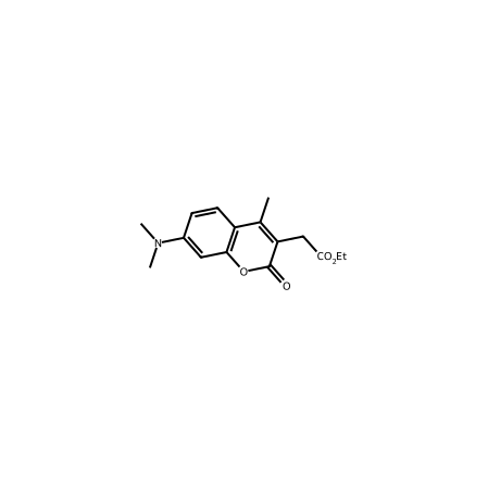 CCOC(=O)Cc1c(C)c2ccc(N(C)C)cc2oc1=O